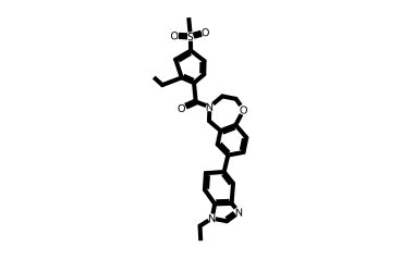 CCc1cc(S(C)(=O)=O)ccc1C(=O)N1CCOc2ccc(-c3ccc4c(c3)ncn4CC)cc2C1